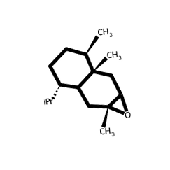 CC(C)[C@@H]1CC[C@@H](C)[C@]2(C)CC3O[C@]3(C)CC12